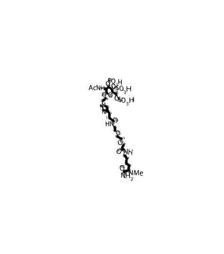 CN[C@@H](CCCCNC(=O)COCCOCCNC(=O)CCc1cn(CCOC2OC(COS(=O)(=O)O)C(OS(=O)(=O)O)C(OS(=O)(=O)O)C2NC(C)=O)nn1)C(N)=O